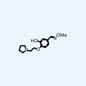 CON=Cc1ccc(OCCN2CCCC2)c(O)c1